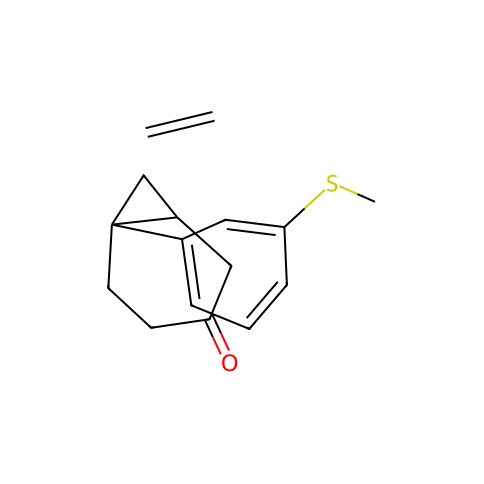 C=C.CSc1cccc(C23CCC(=O)CC2C3)c1